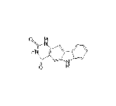 O=c1[nH]c(=O)c2cc3[nH]c4ccccc4c3cc2[nH]1